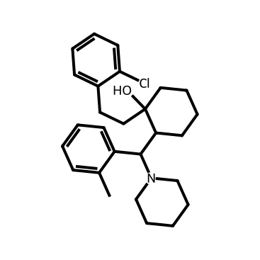 Cc1ccccc1C(C1CCCCC1(O)CCc1ccccc1Cl)N1CCCCC1